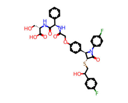 O=C(COc1ccc([C@@H]2[C@@H](SCC(O)c3ccc(F)cc3)C(=O)N2c2ccc(F)cc2)cc1)N[C@@H](C(=O)N[C@@H](CO)C(=O)O)c1ccccc1